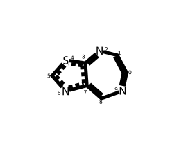 C1=CN=c2scnc2=CN=1